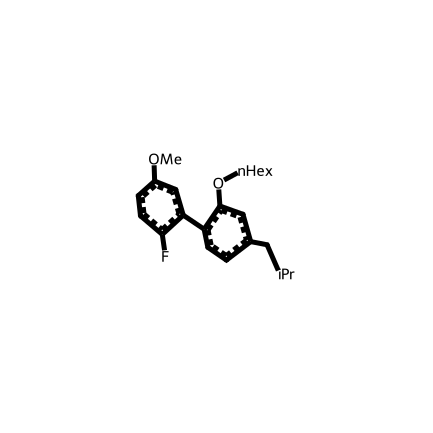 CCCCCCOc1cc(CC(C)C)ccc1-c1cc(OC)ccc1F